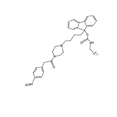 CC(=O)Nc1ccc(CC(=O)N2CCN(CCCCC3(OC(=O)NCC(F)(F)F)c4ccccc4-c4ccccc43)CC2)cc1